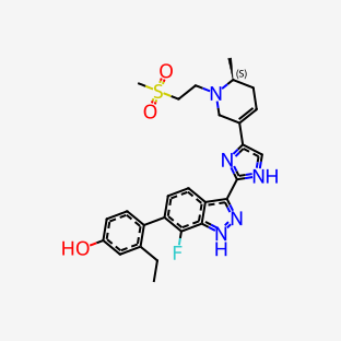 CCc1cc(O)ccc1-c1ccc2c(-c3nc(C4=CC[C@H](C)N(CCS(C)(=O)=O)C4)c[nH]3)n[nH]c2c1F